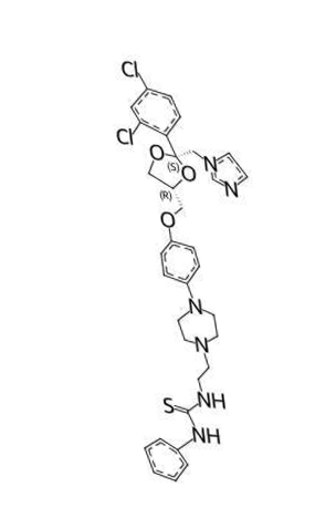 S=C(NCCN1CCN(c2ccc(OC[C@@H]3CO[C@@](Cn4ccnc4)(c4ccc(Cl)cc4Cl)O3)cc2)CC1)Nc1ccccc1